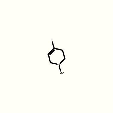 CC(=O)N1CC=C(I)CC1